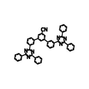 N#Cc1cc(-c2cccc(-c3nc(-c4ccccc4)nc(-c4ccccc4)n3)c2)cc(-c2cccc(-c3nc(-c4ccccc4)nc(-c4ccccc4)n3)c2)c1